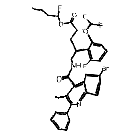 CCCC(F)OC(=O)CCC(CNC(=O)c1c(C)c(-c2ccccc2)nc2ccc(Br)cc12)c1c(F)cccc1OC(F)F